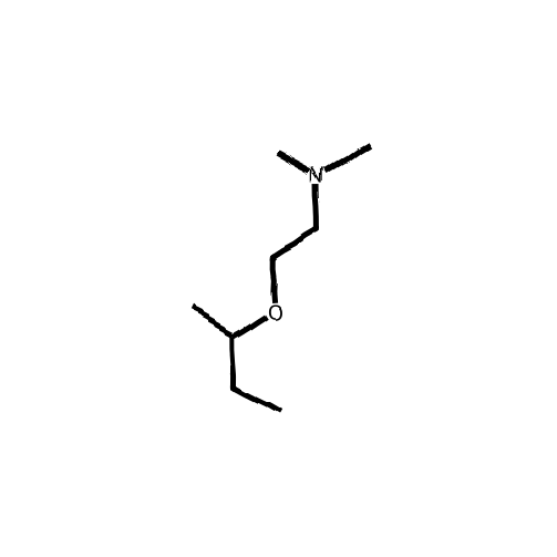 CCC(C)OCCN(C)C